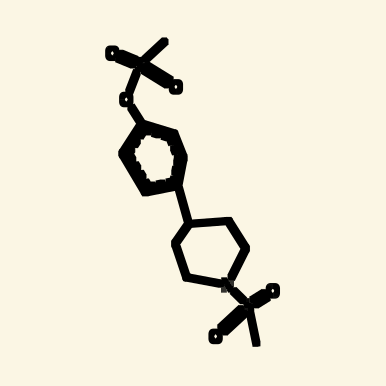 CS(=O)(=O)Oc1ccc(C2CCN(S(C)(=O)=O)CC2)cc1